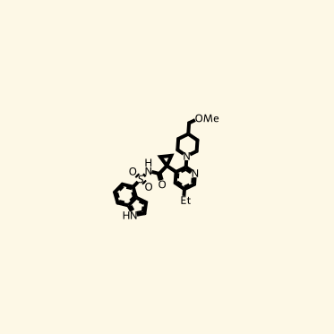 CCc1cnc(N2CCC(COC)CC2)c(C2(C(=O)NS(=O)(=O)c3cccc4[nH]ccc34)CC2)c1